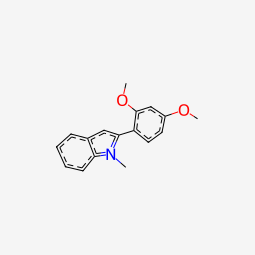 COc1ccc(-c2cc3ccccc3n2C)c(OC)c1